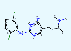 CC(CCc1cnc(Nc2cc(F)ccc2F)nc1N)N(C)C